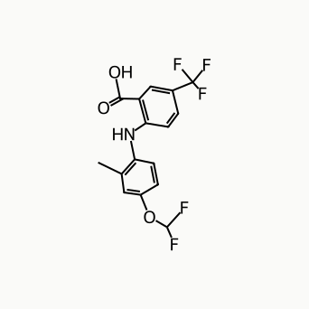 Cc1cc(OC(F)F)ccc1Nc1ccc(C(F)(F)F)cc1C(=O)O